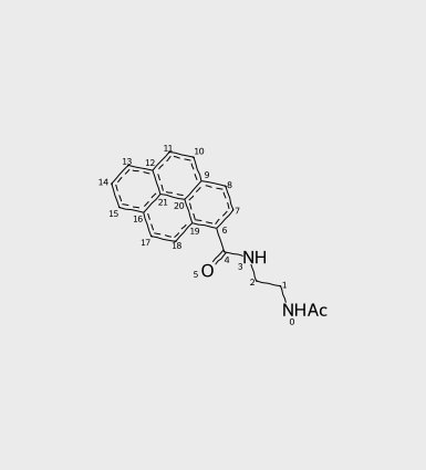 [CH2]C(=O)NCCNC(=O)c1ccc2ccc3cccc4ccc1c2c34